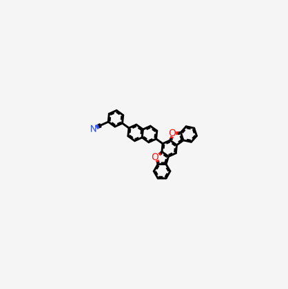 N#Cc1cccc(-c2ccc3cc(-c4c5oc6ccccc6c5cc5c4oc4ccccc45)ccc3c2)c1